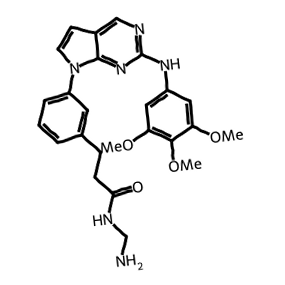 COc1cc(Nc2ncc3ccn(-c4cccc(CCC(=O)NCN)c4)c3n2)cc(OC)c1OC